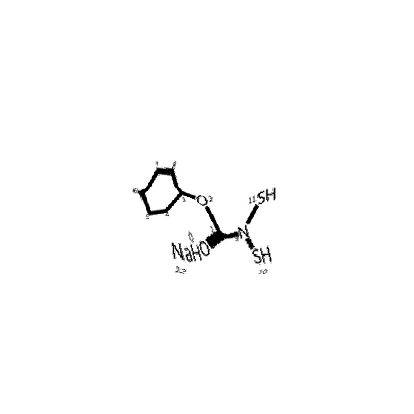 O=C(OC1CCCCC1)N(S)S.[NaH]